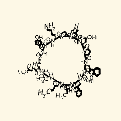 CCCC[C@H]1C(=O)N(C)[C@@H](CCCC)C(=O)N[C@@H](C)C(=O)N[C@H](C(=O)NCC(N)=O)CSCC(=O)N[C@@H](Cc2ccc(O)cc2)C(=O)N(C)[C@@H](C)C(=O)N[C@@H](CCCCN)C(=O)N2CCC[C@H]2C(=O)N[C@@H](Cc2c[nH]cn2)C(=O)N[C@@H](CC(=O)O)C(=O)N2CCCC2C(=O)N[C@@H](Cc2c[nH]c3ccccc23)C(=O)N[C@@H](CO)C(=O)N[C@@H](Cc2c[nH]c3ccccc23)C(=O)N1C